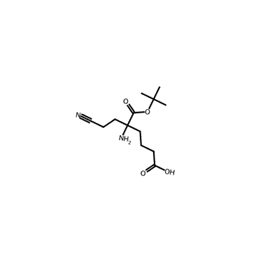 CC(C)(C)OC(=O)C(N)(CCC#N)CCCC(=O)O